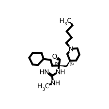 CCCCCN1CCC[C@@H](C[C@](C=O)(CCC2CCCCC2)NC(=N)NC)C1